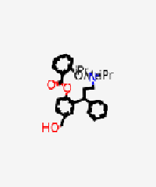 COc1ccccc1C(=O)Oc1ccc(CO)cc1C(CCN(C(C)C)C(C)C)c1ccccc1